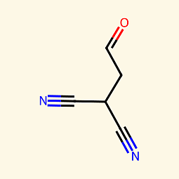 N#CC(C#N)CC=O